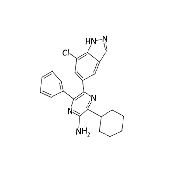 Nc1nc(-c2ccccc2)c(-c2cc(Cl)c3[nH]ncc3c2)nc1C1CCCCC1